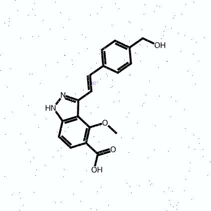 COc1c(C(=O)O)ccc2[nH]nc(/C=C/c3ccc(CO)cc3)c12